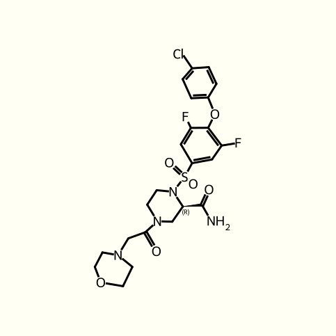 NC(=O)[C@H]1CN(C(=O)CN2CCOCC2)CCN1S(=O)(=O)c1cc(F)c(Oc2ccc(Cl)cc2)c(F)c1